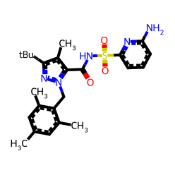 Cc1cc(C)c(Cn2nc(C(C)(C)C)c(C)c2C(=O)NS(=O)(=O)c2cccc(N)n2)c(C)c1